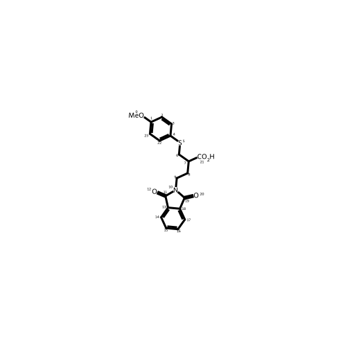 COc1ccc(SCC(CCN2C(=O)c3ccccc3C2=O)C(=O)O)cc1